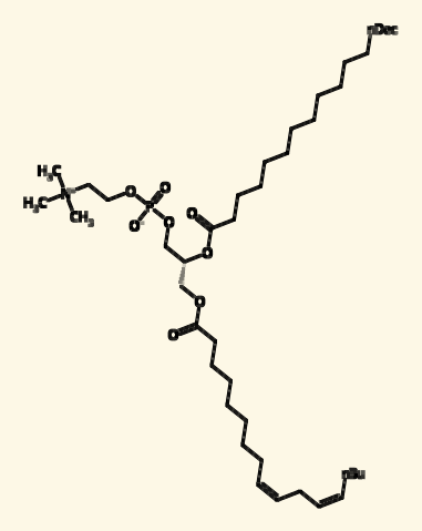 CCCC/C=C\C/C=C\CCCCCCCC(=O)OC[C@H](COP(=O)([O-])OCC[N+](C)(C)C)OC(=O)CCCCCCCCCCCCCCCCCCCCC